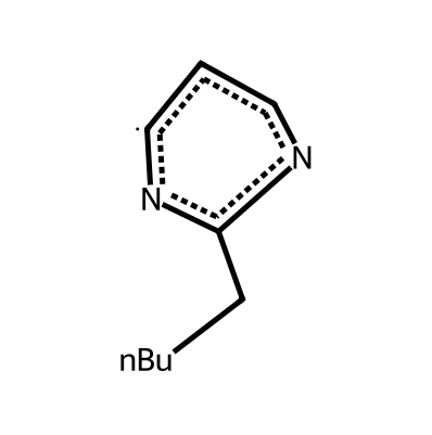 CCCCCc1n[c]ccn1